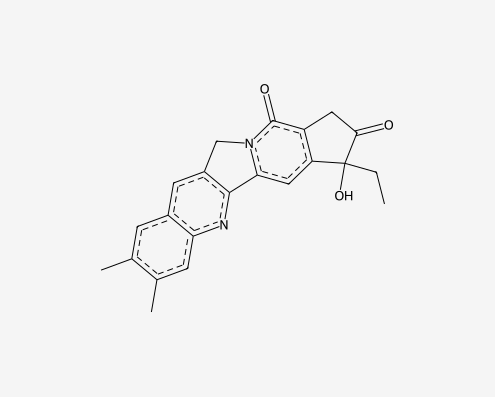 CCC1(O)C(=O)Cc2c1cc1n(c2=O)Cc2cc3cc(C)c(C)cc3nc2-1